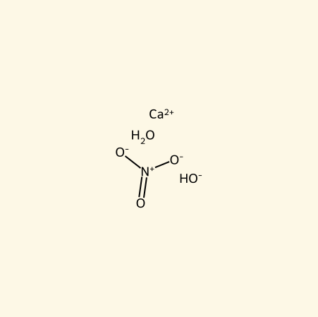 O.O=[N+]([O-])[O-].[Ca+2].[OH-]